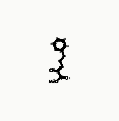 COC(=O)/C(Cl)=C/CCc1ccccc1